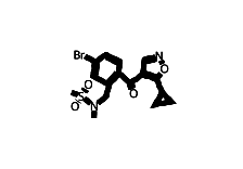 CN(Cc1cc(Br)ccc1C(=O)c1cnoc1C1CC1)S(C)(=O)=O